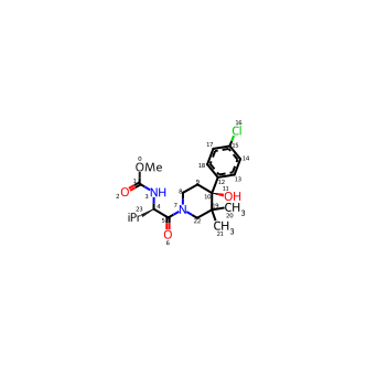 COC(=O)N[C@@H](C(=O)N1CC[C@](O)(c2ccc(Cl)cc2)C(C)(C)C1)C(C)C